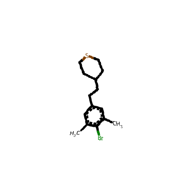 Cc1cc(CCC2CCSCC2)cc(C)c1Br